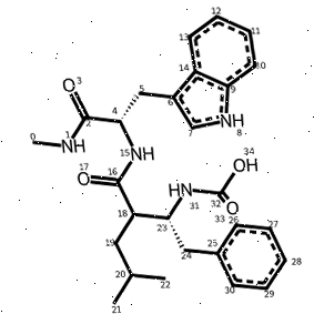 CNC(=O)[C@H](Cc1c[nH]c2ccccc12)NC(=O)C(CC(C)C)[C@@H](Cc1ccccc1)NC(=O)O